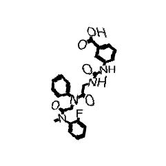 CN(C(=O)CN(C(=O)CNC(=O)Nc1cccc(C(=O)O)c1)c1ccccc1)c1ccccc1F